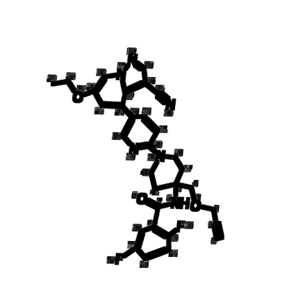 C#CCOCC1(NC(=O)c2cc(F)ccc2F)CCN(c2ccc(-c3cc(OCC)cn4ncc(C#N)c34)cn2)CC1